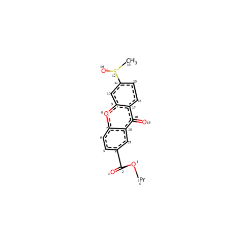 CC(C)OC(=O)c1ccc2oc3cc([S+](C)[O-])ccc3c(=O)c2c1